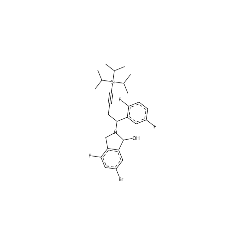 CC(C)[Si](C#CCC(c1cc(F)ccc1F)N1Cc2c(F)cc(Br)cc2C1O)(C(C)C)C(C)C